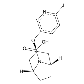 O=C(O)N1[C@@H]2CC[C@H]1C[C@H](Oc1ccc(I)nn1)C2